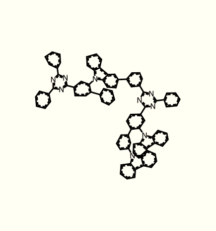 c1ccc(-c2nc(-c3cccc(-c4ccc5c(c4)c4ccccc4n5-c4cc(-c5nc(-c6ccccc6)nc(-c6ccccc6)n5)ccc4-c4ccccc4)c3)nc(-c3ccc(-c4cccc(-n5c6ccccc6c6ccccc65)c4)c(-n4c5ccccc5c5ccccc54)c3)n2)cc1